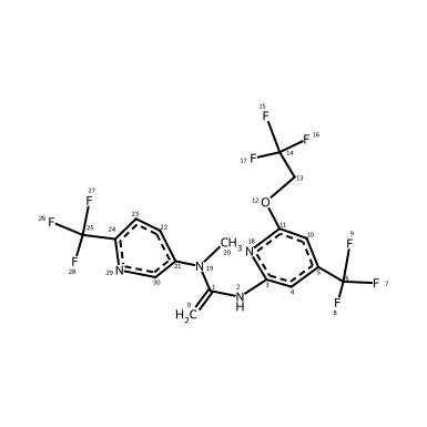 C=C(Nc1cc(C(F)(F)F)cc(OCC(F)(F)F)n1)N(C)c1ccc(C(F)(F)F)nc1